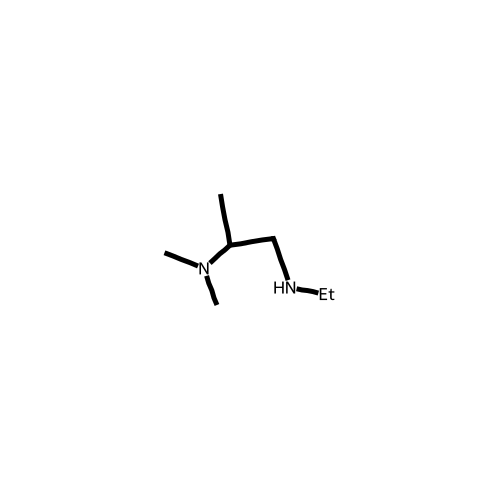 CCNCC(C)N(C)C